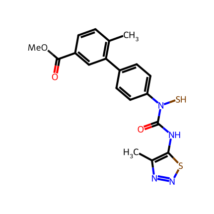 COC(=O)c1ccc(C)c(-c2ccc(N(S)C(=O)Nc3snnc3C)cc2)c1